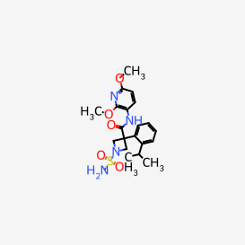 COc1ccc(NC(=O)C2(c3ccccc3C(C)C)CN(S(N)(=O)=O)C2)c(OC)n1